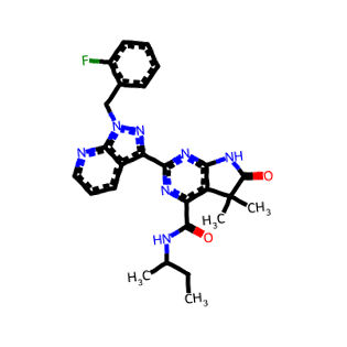 CCC(C)NC(=O)c1nc(-c2nn(Cc3ccccc3F)c3ncccc23)nc2c1C(C)(C)C(=O)N2